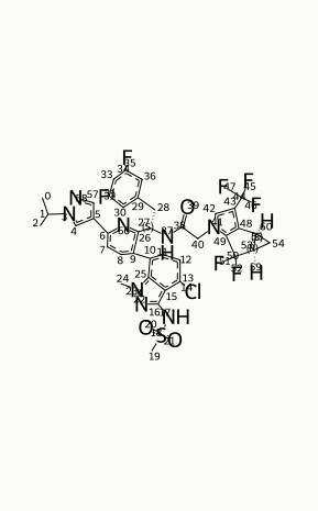 CC(C)n1cc(-c2ccc(-c3ccc(Cl)c4c(NS(C)(=O)=O)nn(C)c34)c([C@H](Cc3cc(F)cc(F)c3)NC(=O)Cn3cc(C(F)(F)F)c4c3C(F)(F)[C@@H]3C[C@H]43)n2)cn1